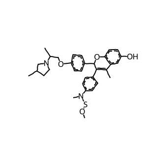 COSN(C)c1ccc(C2=C(C)c3cc(O)ccc3OC2c2ccc(OCC(C)N3CCC(C)C3)cc2)cc1